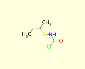 CCC(C)SNC(=O)Cl